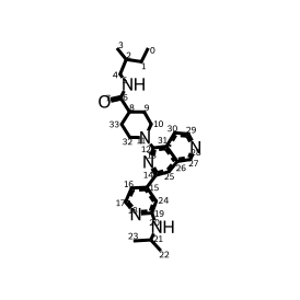 CCC(C)CNC(=O)C1CCN(c2nc(-c3ccnc(NC(C)C)c3)cc3cnccc23)CC1